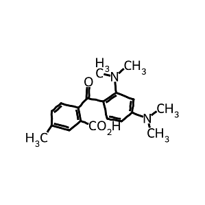 Cc1ccc(C(=O)c2ccc(N(C)C)cc2N(C)C)c(C(=O)O)c1